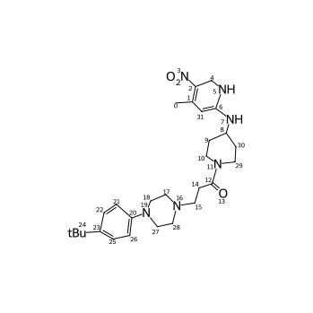 CC1=C([N+](=O)[O-])CNC(NC2CCN(C(=O)CCN3CCN(c4ccc(C(C)(C)C)cc4)CC3)CC2)=C1